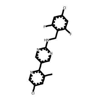 Cc1cc(Cl)cnc1-c1cnc(NCc2c(F)cc(Cl)cc2F)nc1